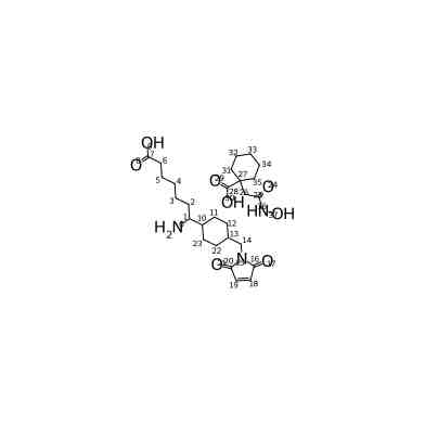 NC(CCCCCC(=O)O)C1CCC(CN2C(=O)C=CC2=O)CC1.O=C(CC1(C(=O)O)CCCCC1)NO